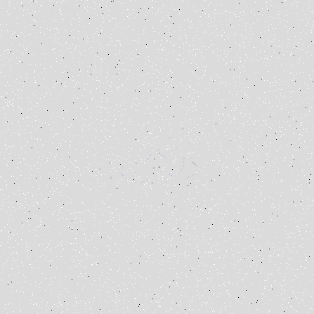 O=S1(=Nc2cc(I)c3c(Nc4ccc(F)cc4O[C@@H]4COC[C@H]4O)ncnc3c2)CCC1